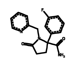 NC(=O)C1(c2cccc(F)c2)CCC(=O)N1Cc1ccccn1